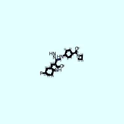 N=N/C(=C\Nc1ccc(C(=O)N2CCC2)cc1)c1cc2cc(F)ccc2[nH]c1=O